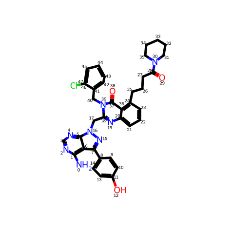 Nc1ncnc2c1c(-c1ccc(O)cc1)nn2Cc1nc2cccc(CCCC(=O)N3CCCCC3)c2c(=O)n1Cc1ccccc1Cl